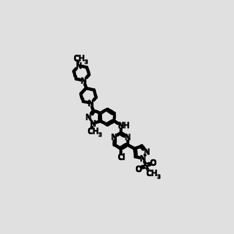 CN1CCN(C2CCN(c3nn(C)c4cc(Nc5ncc(Cl)c(-c6cnn(S(C)(=O)=O)c6)n5)ccc34)CC2)CC1